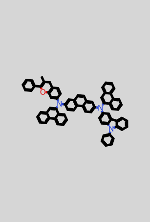 CC1=C(c2ccccc2)Oc2cc(N(c3ccc4c(ccc5cc(N(c6ccc7c(c6)c6ccccc6n7-c6ccccc6)c6cc7ccccc7c7ccccc67)ccc54)c3)c3cc4ccccc4c4ccccc34)ccc2C1